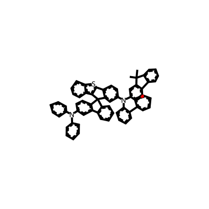 CC1(C)c2ccccc2-c2ccc(N(c3ccc4c(c3)C3(c5ccccc5-c5cc(N(c6ccccc6)c6ccccc6)ccc53)c3c-4sc4ccccc34)c3ccccc3-c3ccccc3)cc21